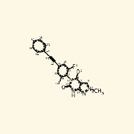 Cn1cc2c(=O)n(-c3c(F)cc(C#Cc4ccccc4)cc3F)c(=O)[nH]c2n1